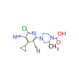 CC1CN(c2nc(Cl)c(C#N)c(C3CC3)c2C#N)CCN1C(=O)O